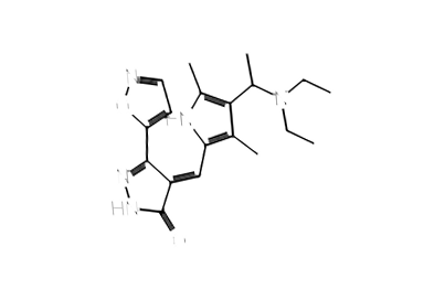 CCN(CC)C(C)c1c(C)[nH]c(/C=C2/C(=O)NN=C2c2ccno2)c1C